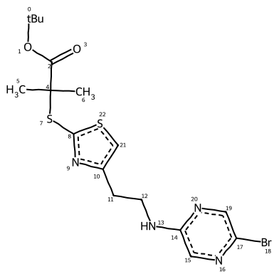 CC(C)(C)OC(=O)C(C)(C)Sc1nc(CCNc2cnc(Br)cn2)cs1